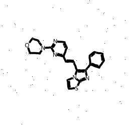 C(=Cc1c(-c2ccccc2)nc2sccn12)c1ccnc(N2CCOCC2)n1